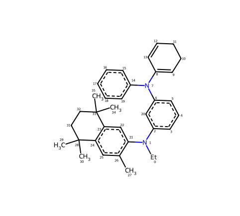 CCN(c1cccc(N(C2=CCCC=C2)c2ccccc2)c1)c1cc2c(cc1C)C(C)(C)CCC2(C)C